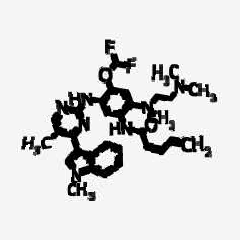 C=C/C=C\C(=O)Nc1cc(Nc2ncc(C)c(-c3cn(C)c4ccccc34)n2)c(OC(F)F)cc1N(C)CCN(C)C